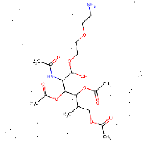 CC(=O)NC(C(O)OCCOCCN)C(OC(C)=O)C(OC(C)=O)C(C)COC(C)=O